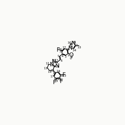 COc1cc(/C=C/c2nc3n(n2)CCCC3c2cc(F)c(F)c(F)c2)c(F)cc1-n1cnc(C)c1